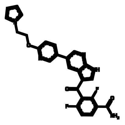 NC(=O)c1ccc(F)c(C(=O)c2c[nH]c3ncc(-c4ccc(OCCn5cccc5)nc4)cc23)c1F